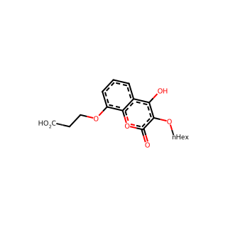 CCCCCCOc1c(O)c2cccc(OCCC(=O)O)c2oc1=O